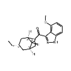 CC[C@H]1C[C@@H]2CN(C(=O)c3n[nH]c4cccc(OC)c34)[C@H](C1)[C@@H]2C